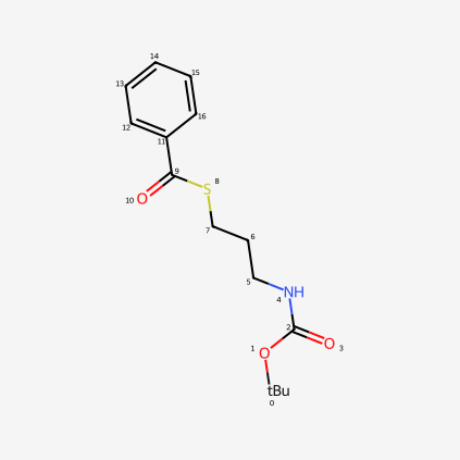 CC(C)(C)OC(=O)NCCCSC(=O)c1ccccc1